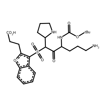 CC(C)(C)OC(=O)NC(CCCN)C(=O)C(C1CCCN1)S(=O)(=O)c1c(CCC(=O)O)oc2ccccc12